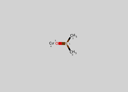 CS(C)=O.[Cu]